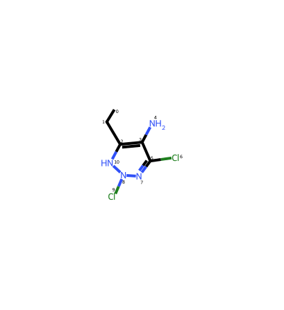 CCC1=C(N)C(Cl)=NN(Cl)N1